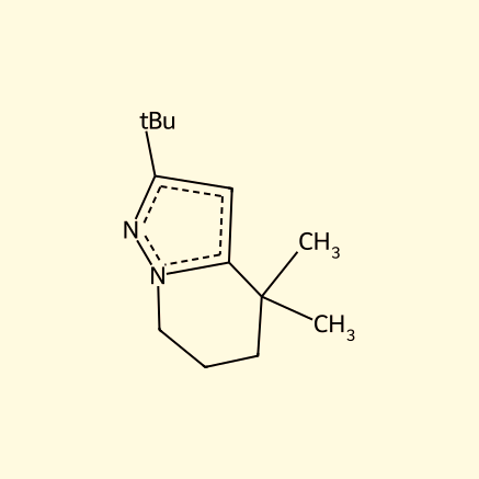 CC(C)(C)c1cc2n(n1)CCCC2(C)C